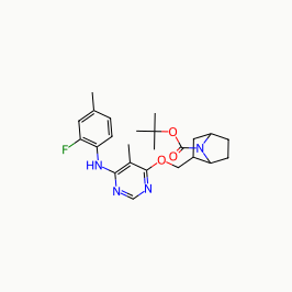 Cc1ccc(Nc2ncnc(OCC3CC4CCC3N4C(=O)OC(C)(C)C)c2C)c(F)c1